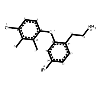 Cc1c(Cl)ccc(Oc2cc(C(C)C)ccc2CCN)c1C